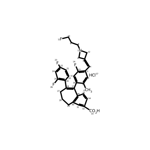 Cc1cc(C=C2CN(CCCF)C2)c(F)cc1C1=C(c2ccc(F)cc2F)CCCc2cc(C(=O)O)ccc21.Cl